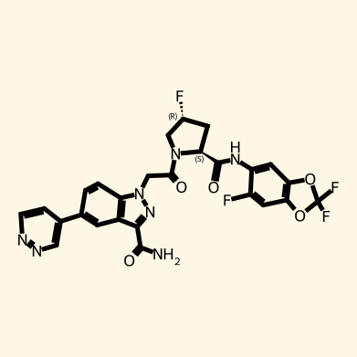 NC(=O)c1nn(CC(=O)N2C[C@H](F)C[C@H]2C(=O)Nc2cc3c(cc2F)OC(F)(F)O3)c2ccc(-c3ccnnc3)cc12